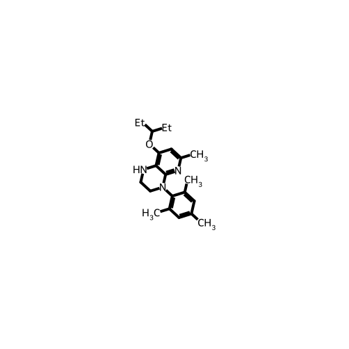 CCC(CC)Oc1cc(C)nc2c1NCCN2c1c(C)cc(C)cc1C